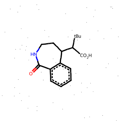 CC(C)(C)C(C(=O)O)C1CCNC(=O)c2ccccc21